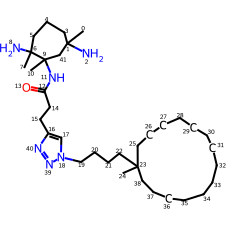 CC1(N)CCCC(C)(N)C(C)(NC(=O)CCc2cn(CCCCC3(C)CCCCCCCCCCCCCC3)nn2)C1